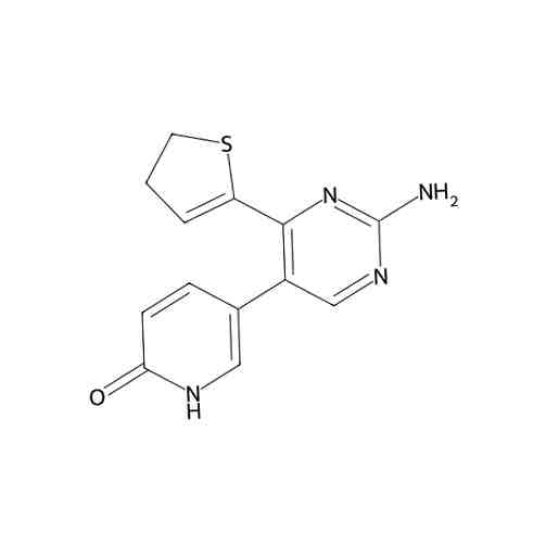 Nc1ncc(-c2ccc(=O)[nH]c2)c(C2=CCCS2)n1